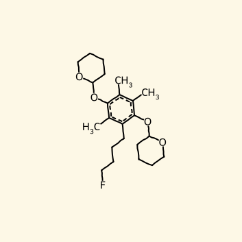 Cc1c(C)c(OC2CCCCO2)c(CCCCF)c(C)c1OC1CCCCO1